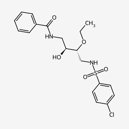 CCO[C@H](CNS(=O)(=O)c1ccc(Cl)cc1)[C@@H](O)CNC(=O)c1ccccc1